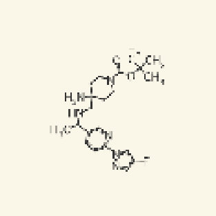 CC(NCC1(N)CCN(C(=O)OC(C)(C)C)CC1)c1ccc(-n2cc(F)cn2)nc1